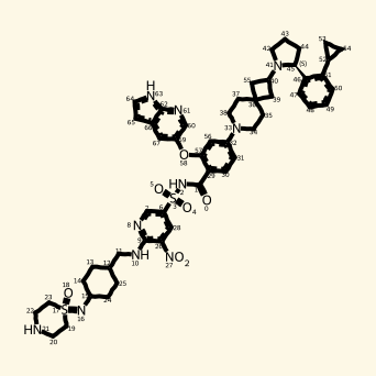 O=C(NS(=O)(=O)c1cnc(NCC2CCC(N=S3(=O)CCNCC3)CC2)c([N+](=O)[O-])c1)c1ccc(N2CCC3(CC2)CC(N2CCC[C@H]2c2ccccc2C2CC2)C3)cc1Oc1cnc2[nH]ccc2c1